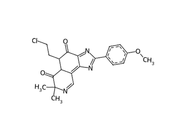 COc1ccc(C2=NC3=C4C=NC(C)(C)C(=O)C4C(CCCl)C(=O)C3=N2)cc1